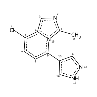 Cc1ncc2c(Cl)ccc(-c3cn[nH]c3)n12